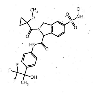 CNS(=O)(=O)c1ccc2c(c1)CN(C(=O)C1(OC)CC1)C2C(=O)Nc1ccc(C(C)(O)C(F)(F)F)cc1